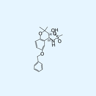 CC1(C)Oc2ccc(OCc3ccccc3)cc2[C@H](NS(C)(=O)=O)[C@H]1O